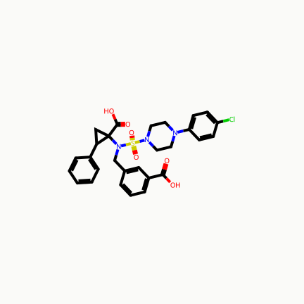 O=C(O)c1cccc(CN(C2(C(=O)O)CC2c2ccccc2)S(=O)(=O)N2CCN(c3ccc(Cl)cc3)CC2)c1